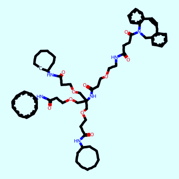 O=C(CCC(=O)N1Cc2ccccc2C#Cc2ccccc21)NCCOCCC(=O)NC(COCCC(=O)Nc1ccccccccc1)(COCCC(=O)NC1CCCCCCCC1)COCCC(=O)NC1CCCCCCC1